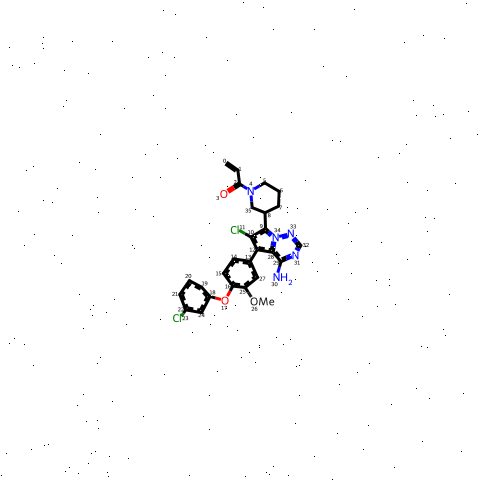 C=CC(=O)N1CCCC(c2c(Cl)c(-c3ccc(Oc4cccc(Cl)c4)c(OC)c3)c3c(N)ncnn23)C1